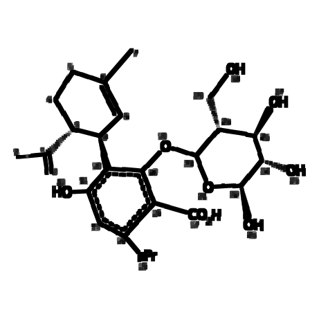 C=C(C)[C@@H]1CCC(C)=C[C@H]1c1c(O)cc(CCC)c(C(=O)O)c1OC1O[C@H](O)[C@@H](O)[C@H](O)[C@H]1CO